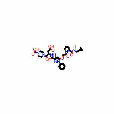 O=C(O)CC(NC(=O)c1cc(OCC(=O)N2CCCC2C(=O)NCC2CC2)n(-c2ccccc2)n1)C(=O)N1CCN(C(=O)O)CC1